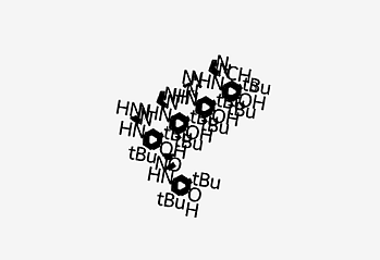 CC(C)(C)c1cc(Nc2c[nH]nn2)cc(C(C)(C)C)c1O.CC(C)(C)c1cc(Nc2cc[nH]n2)cc(C(C)(C)C)c1O.CC(C)(C)c1cc(Nc2ncco2)cc(C(C)(C)C)c1O.CC(C)(C)c1cc(Nn2cnnc2)cc(C(C)(C)C)c1O.Cn1nccc1Nc1cc(C(C)(C)C)c(O)c(C(C)(C)C)c1